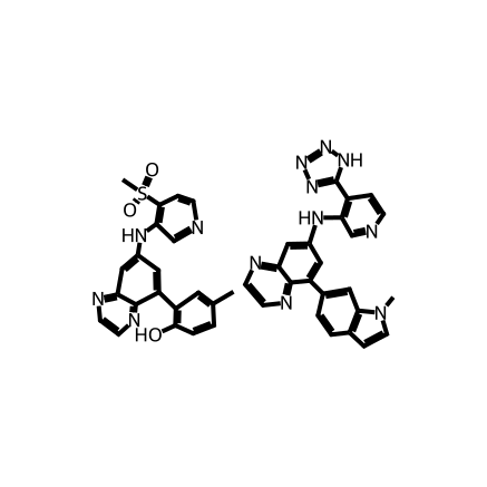 Cc1ccc(O)c(-c2cc(Nc3cnccc3S(C)(=O)=O)cc3nccnc23)c1.Cn1ccc2ccc(-c3cc(Nc4cnccc4-c4nnn[nH]4)cc4nccnc34)cc21